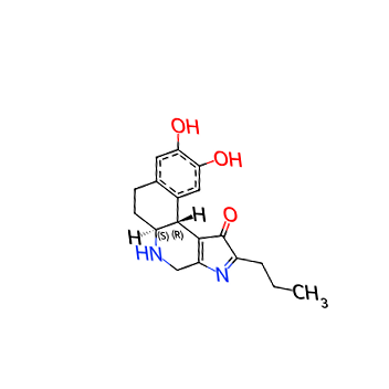 CCCC1=NC2=C(C1=O)[C@H]1c3cc(O)c(O)cc3CC[C@@H]1NC2